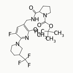 COc1nc(N2CCCC(C(F)(F)F)C2)c(F)cc1CNC(=O)C1CCCN1C(=O)OC(C)(C)C